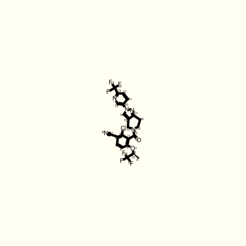 C[C@H](Oc1ccc(C#N)c(Cl)c1C(=O)N1CCc2nn(-c3ccc(C(F)(F)F)nc3)cc2C1)C(F)(F)F